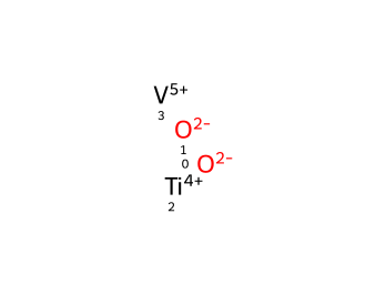 [O-2].[O-2].[Ti+4].[V+5]